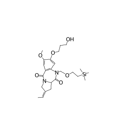 CC=C1CC2C(=O)N(COCC[Si](C)(C)C)c3cc(OCCCO)c(OC)cc3C(=O)N2C1